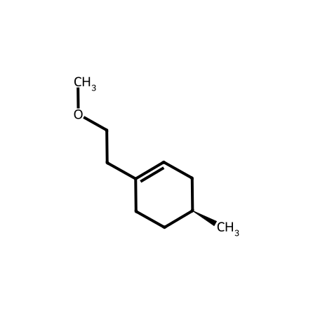 COCCC1=CC[C@@H](C)CC1